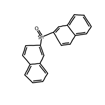 [O]=[Sn]([c]1ccc2ccccc2c1)[c]1ccc2ccccc2c1